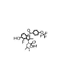 CCC(C)C[C@H](C(=O)O)c1c(C)n(C(=O)c2ccc(OC(F)(F)F)cc2)c2ccc(O)c(F)c12